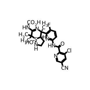 CC1(C)C(NC(=O)O)=N[C@](C)(c2nc(NC(=O)c3ncc(C#N)cc3Cl)ccc2F)[C@H]2CCN[S@]21O